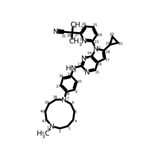 CN1CCCCCN(c2ccc(Nc3ncc4cc(C5CC5)n(-c5cccc(C(C)(C)C#N)n5)c4n3)cc2)CCCC1